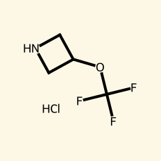 Cl.FC(F)(F)OC1CNC1